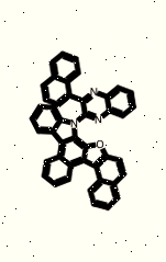 c1ccc2c(-c3nc4ccccc4nc3-n3c4ccccc4c4c5ccccc5c5c(oc6ccc7ccccc7c65)c43)cccc2c1